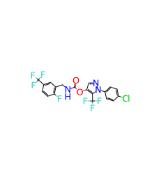 O=C(NCc1cc(C(F)(F)F)ccc1F)Oc1cnn(-c2ccc(Cl)cc2)c1C(F)(F)F